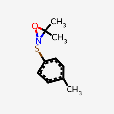 Cc1ccc(SN2OC2(C)C)cc1